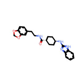 O=C(NCCc1ccc2c(c1)OCO2)[C@H]1CC[C@H](Nc2nc3ccccc3[nH]2)CC1